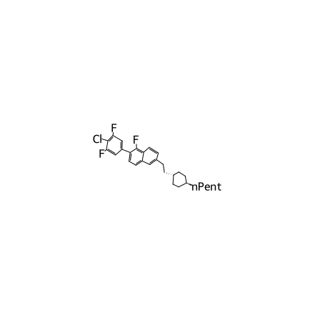 CCCCC[C@H]1CC[C@H](CCc2ccc3c(F)c(-c4cc(F)c(Cl)c(F)c4)ccc3c2)CC1